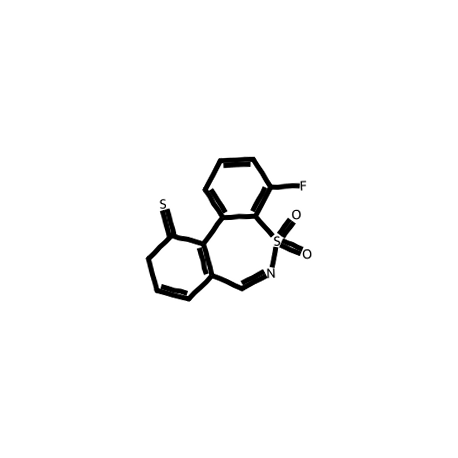 O=S1(=O)N=CC2=C(C(=S)CC=C2)c2cccc(F)c21